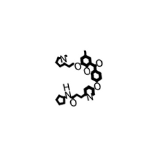 Cc1cc(OCCC2CCCN2C)c2oc3cc(Oc4ccc(CCC(=O)NC5CCCC5)nc4)ccc3c(=O)c2c1